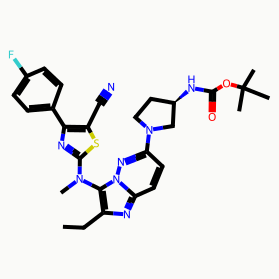 CCc1nc2ccc(N3CC[C@@H](NC(=O)OC(C)(C)C)C3)nn2c1N(C)c1nc(-c2ccc(F)cc2)c(C#N)s1